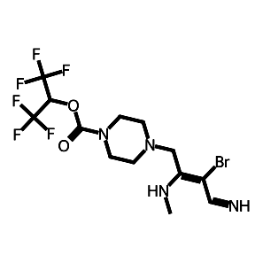 CN/C(CN1CCN(C(=O)OC(C(F)(F)F)C(F)(F)F)CC1)=C(/Br)C=N